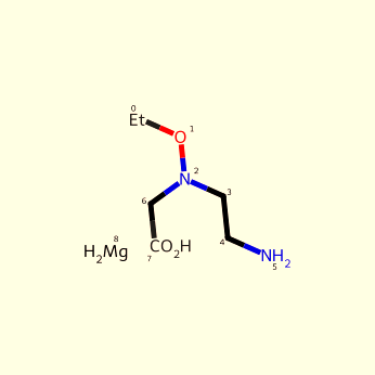 CCON(CCN)CC(=O)O.[MgH2]